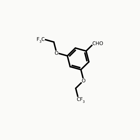 O=Cc1cc(OCC(F)(F)F)cc(OCC(F)(F)F)c1